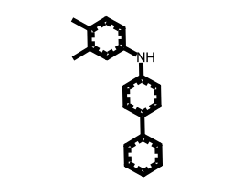 Cc1ccc(Nc2ccc(-c3ccccc3)cc2)cc1C